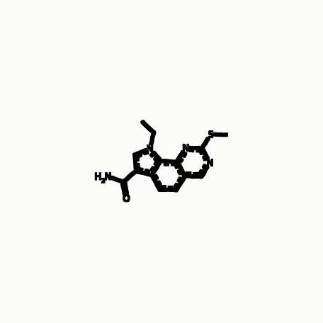 CCn1cc(C(N)=O)c2ccc3cnc(SC)nc3c21